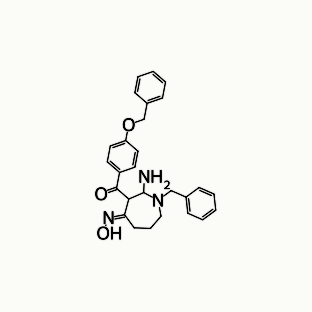 NC1C(C(=O)c2ccc(OCc3ccccc3)cc2)C(=NO)CCCN1Cc1ccccc1